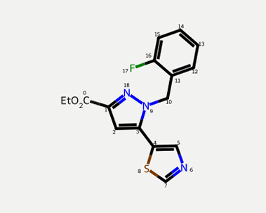 CCOC(=O)c1cc(-c2cncs2)n(Cc2ccccc2F)n1